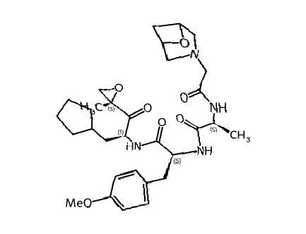 COc1ccc(C[C@H](NC(=O)[C@H](C)NC(=O)CN2CC3CC(C2)O3)C(=O)N[C@@H](CC2CCCC2)C(=O)[C@]2(C)CO2)cc1